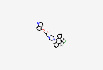 OC(COc1cccc2ncccc12)CN1CCN([C@@H]2c3ccccc3[C@@H]3[C@H](c4ccccc42)C3(F)F)CC1